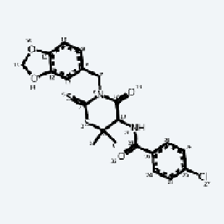 CC1(C)SC(=S)N(Cc2ccc3c(c2)OCO3)C(=O)C1NC(=O)c1ccc(Cl)cc1